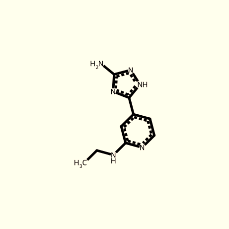 CCNc1cc(-c2nc(N)n[nH]2)ccn1